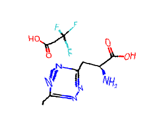 Cc1nnc(C[C@H](N)C(=O)O)nn1.O=C(O)C(F)(F)F